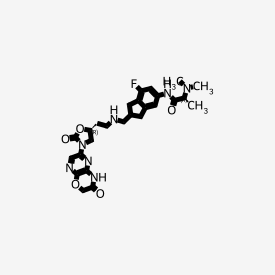 C[C@H](C(=O)Nc1cc(F)c2c(c1)CC(CNCC[C@@H]1CN(c3cnc4c(n3)NC(=O)CO4)C(=O)O1)C2)N(C)C